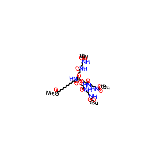 COC(=O)CCCCCCCCCCC(=O)NC(COCCC(=O)NCCCNC(=O)OC(C)(C)C)(COCCC(=O)NCCCNC(=O)OC(C)(C)C)COCCC(=O)NCCCNC(=O)OC(C)(C)C